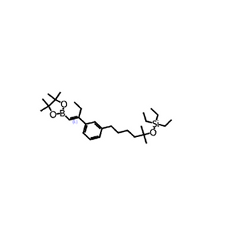 CC/C(=C\B1OC(C)(C)C(C)(C)O1)c1cccc(CCCCC(C)(C)O[Si](CC)(CC)CC)c1